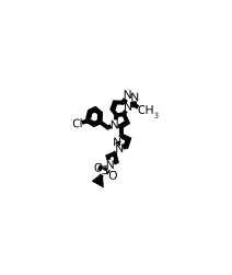 Cc1nnc2n1C1C=C(c3ccn(C4CN(S(=O)(=O)C5CC5)C4)n3)N(Cc3cccc(Cl)c3)C1C=C2